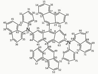 c1ccc(N(c2ccc3c(-c4cc5ccccc5c5ccccc45)c4cc(N(c5ccccc5)c5cccc6ccccc56)ccc4c(-c4cc5ccccc5c5ccccc45)c3c2)c2cccc3ccccc23)cc1